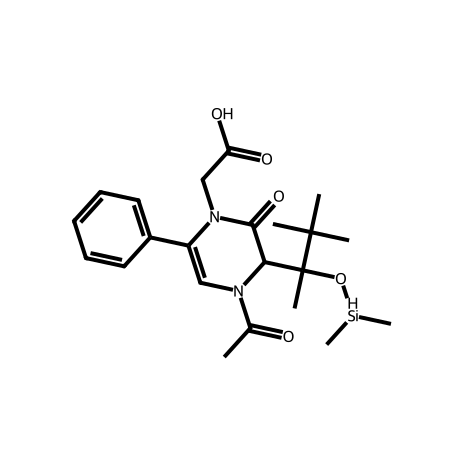 CC(=O)N1C=C(c2ccccc2)N(CC(=O)O)C(=O)C1C(C)(O[SiH](C)C)C(C)(C)C